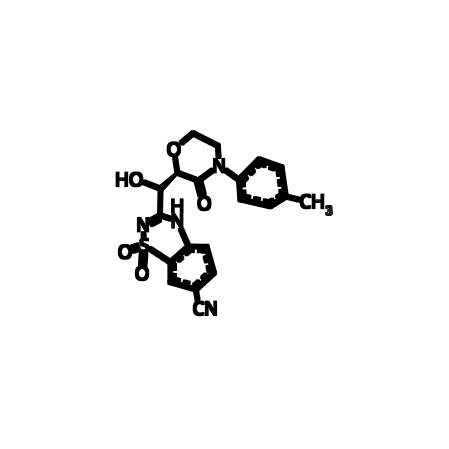 Cc1ccc(N2CCO[C@H](C(O)C3=NS(=O)(=O)c4cc(C#N)ccc4N3)C2=O)cc1